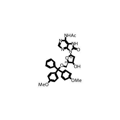 COc1ccc(C(OC[C@H]2O[C@@H](n3c(=O)[nH]c4c(NC(C)=O)ncnc43)CC2O)(c2ccccc2)c2ccc(OC)cc2)cc1